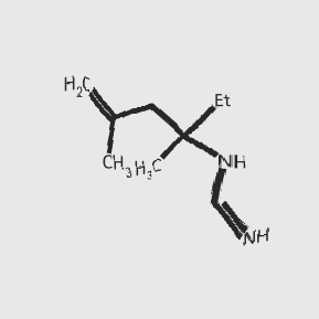 C=C(C)CC(C)(CC)NC=N